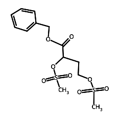 CS(=O)(=O)OCCC(OS(C)(=O)=O)C(=O)OCc1ccccc1